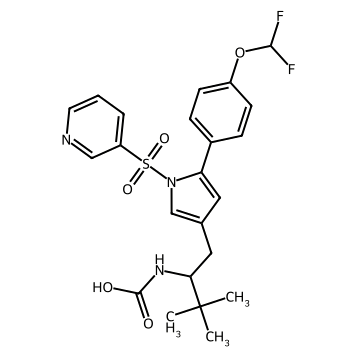 CC(C)(C)C(Cc1cc(-c2ccc(OC(F)F)cc2)n(S(=O)(=O)c2cccnc2)c1)NC(=O)O